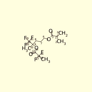 C=C(C)C(=O)OCCCC(C)(OC(=O)C(C)(F)F)C(F)(F)F